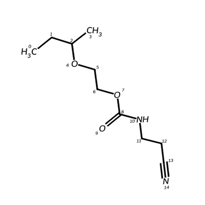 CCC(C)OCCOC(=O)NCCC#N